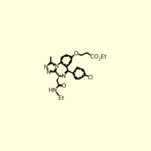 CCNC(=O)C[C@@H]1N=C(c2ccc(Cl)cc2)c2cc(OCCC(=O)OCC)ccc2-n2c(C)nnc21